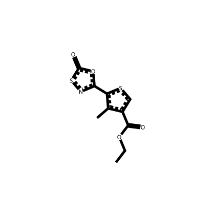 CCOC(=O)c1csc(-c2nsc(=O)o2)c1C